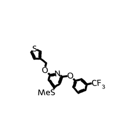 CSc1cc(OCc2ccsc2)nc(Oc2cccc(C(F)(F)F)c2)c1